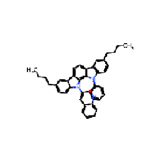 CCCCc1ccc2c(c1)c1ccc3c4cc(CCCC)ccc4n(-c4cnc5ccccc5c4)c3c1n2-c1ccccc1